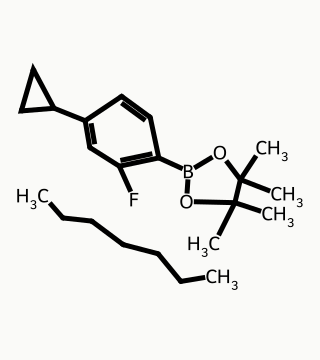 CC1(C)OB(c2ccc(C3CC3)cc2F)OC1(C)C.CCCCCCC